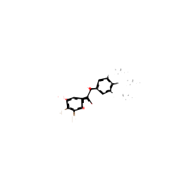 COc1cc(C(=O)c2coc3c(Br)c(Br)c(O)cc23)cc(OC)c1OC